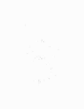 COCCOc1ncc(C2CCC2)cc1C1(C(=O)NS(=O)(=O)c2cccc3[nH]ccc23)CC1